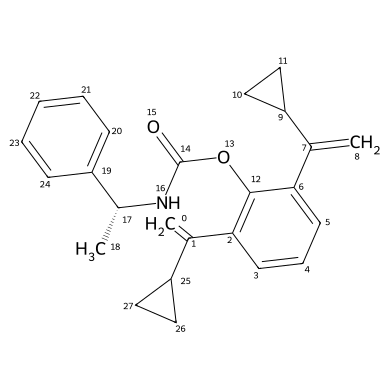 C=C(c1cccc(C(=C)C2CC2)c1OC(=O)N[C@H](C)c1ccccc1)C1CC1